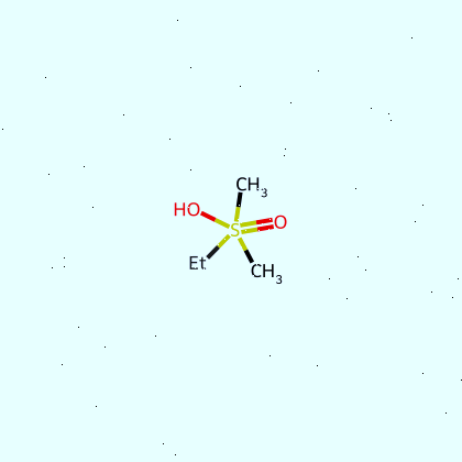 CCS(C)(C)(=O)O